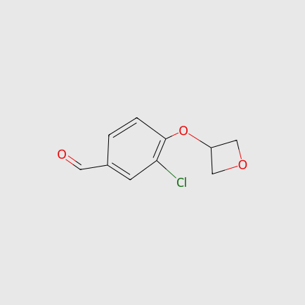 O=Cc1ccc(OC2COC2)c(Cl)c1